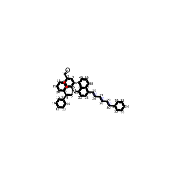 O=Cc1ccc(N(C=C(c2ccccc2)c2ccccc2)c2ccc(/C=C/C=C/C=C/c3ccccc3)c3ccccc23)cc1